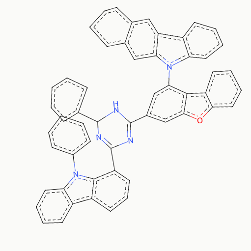 c1ccc(C2N=C(c3cccc4c5ccccc5n(-c5ccccc5)c34)N=C(c3cc(-n4c5ccccc5c5cc6ccccc6cc54)c4c(c3)oc3ccccc34)N2)cc1